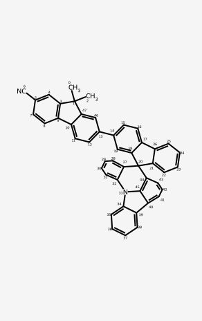 CC1(C)c2cc(C#N)ccc2-c2ccc(-c3ccc4c(c3)C3(c5ccccc5-4)c4ccccc4-n4c5ccccc5c5cccc3c54)cc21